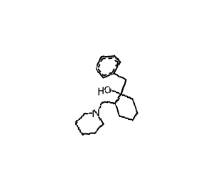 OC1(Cc2ccccc2)CCCCC1CN1CCCCC1